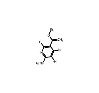 [2H]c1c(NC(C)=O)nc(F)c(C(=C)OCC)c1[2H]